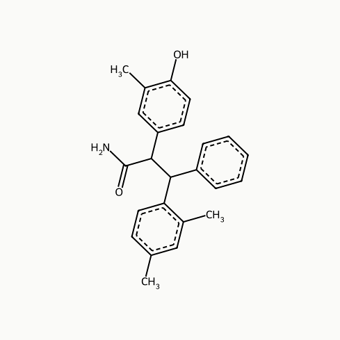 Cc1ccc(C(c2ccccc2)C(C(N)=O)c2ccc(O)c(C)c2)c(C)c1